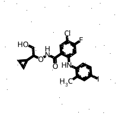 Cc1cc(I)ccc1Nc1cc(F)c(Cl)cc1C(=O)NOC(CO)C1CC1